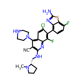 CN1CCC[C@H]1CNc1nc2c(F)c(-c3ccc(F)c4sc(N)nc34)c(Cl)cc2c(N2CCNCC2)c1C#N